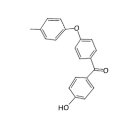 Cc1ccc(Oc2ccc(C(=O)c3ccc(O)cc3)cc2)cc1